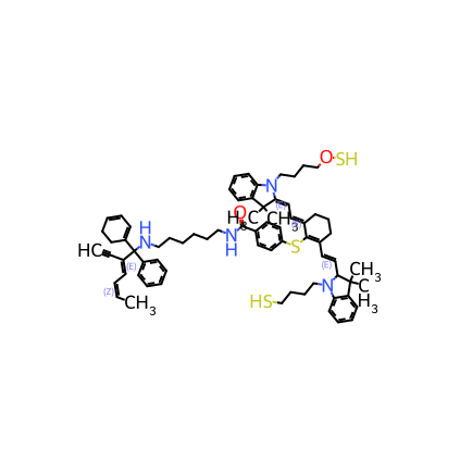 C#C/C(=C\C=C/C)C(NCCCCCCNC(=O)c1ccc(SC2=C(/C=C/C3N(CCCCS)c4ccccc4C3(C)C)CCC/C2=C\C=C2\N(CCCCOS)c3ccccc3C2(C)C)cc1)(C1=CC=CCC1)c1ccccc1